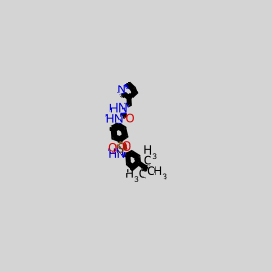 CC(C)(C)c1ccc(NS(=O)(=O)c2ccc(NC(=O)NCc3cccnc3)cc2)cc1